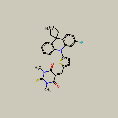 CCC1(CC)c2ccccc2N(c2ccc(C=C3C(=O)N(C)C(=S)N(C)C3=O)s2)c2cc(F)ccc21